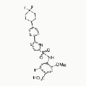 COc1cc(C(=O)O)c(F)cc1NS(=O)(=O)c1csc(-c2ccc(C3CCC(F)(F)CC3)cc2)n1